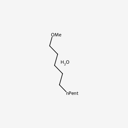 CCCCCCCCCCOC.O